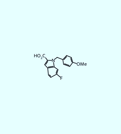 COc1ccc(Cn2c(C(=O)O)cc3ccc(F)cc32)cc1